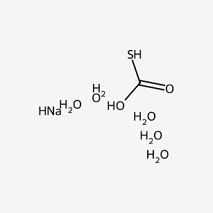 O.O.O.O.O.O=C(O)S.[NaH]